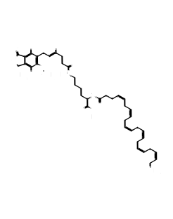 CC/C=C\C/C=C\C/C=C\C/C=C\C/C=C\C/C=C\CCC(=O)NC(CCCCNC(=O)CC/C(C)=C/Cc1c(O)c2c(c(C)c1OC)COC2=O)C(=O)O